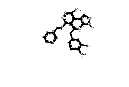 CCn1ncc2c3c(N)nnc(NCc4cccnc4)c3c(Cc3ccc(OC)c(Cl)c3)nc21